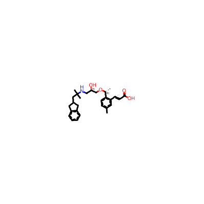 Cc1ccc([C@@H](C)OC[C@H](O)CNC(C)(C)CC2Cc3ccccc3C2)c(/C=C/C(=O)O)c1